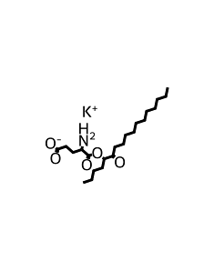 CCCCCCCCCCCC(=O)C(CCCC)OC(=O)C(N)CCC(=O)[O-].[K+]